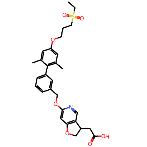 CCS(=O)(=O)CCCOc1cc(C)c(-c2cccc(COc3cc4c(cn3)C(CC(=O)O)CO4)c2)c(C)c1